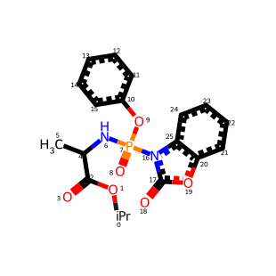 CC(C)OC(=O)C(C)NP(=O)(Oc1ccccc1)n1c(=O)oc2ccccc21